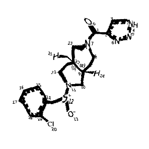 O=C(c1c[nH]nn1)N1C[C@@H]2CN([S+]([O-])c3ccccc3Cl)C[C@@H]2C1